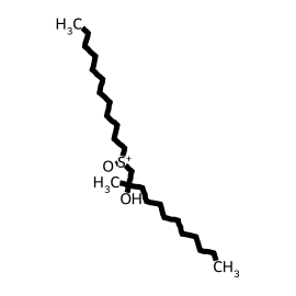 CCCCCCCCCCCC[S+]([O-])CC(C)(O)CCCCCCCCCC